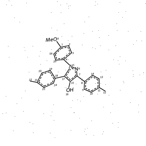 COc1ccc(-n2nc(-c3ccc(C)cc3)c(O)c2-c2ccc(C)cc2)cc1